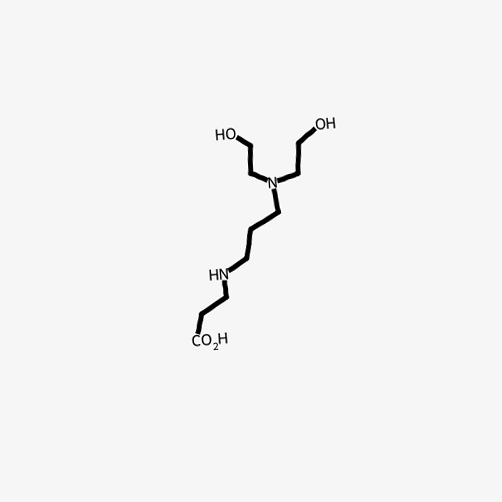 O=C(O)CCNCCCN(CCO)CCO